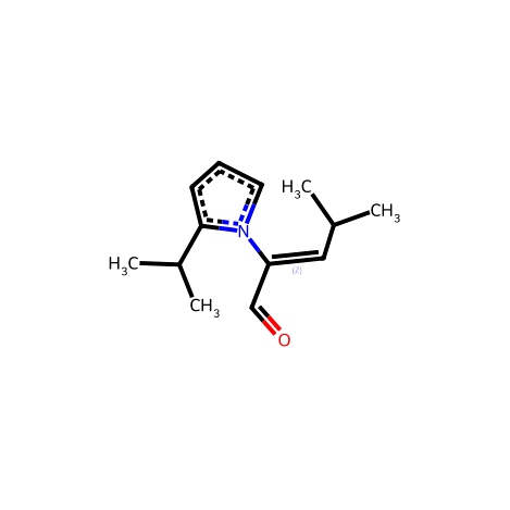 CC(C)/C=C(/C=O)n1cccc1C(C)C